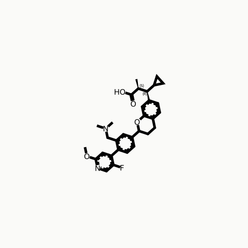 COc1cc(-c2ccc(C3CCc4ccc([C@H](C5CC5)[C@H](C)C(=O)O)cc4O3)cc2CN(C)C)c(F)cn1